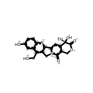 CC[C@@]1(O)C(=O)OCc2c1cc1n(c2=O)Cc2c-1nc1ccc(O)cc1c2CO